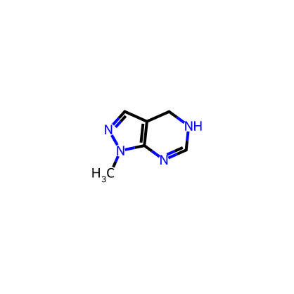 Cn1ncc2c1N=CNC2